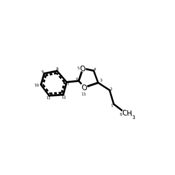 CCCC1COC(c2ccccc2)O1